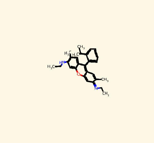 CC/N=c1/cc2oc3cc(NCC)c(C)cc3c(-c3ccccc3C(C)C)c-2cc1C